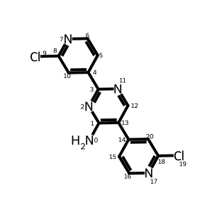 Nc1nc(-c2ccnc(Cl)c2)ncc1-c1ccnc(Cl)c1